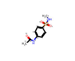 CNS(=O)(=O)c1ccc(NC(C)=O)cc1